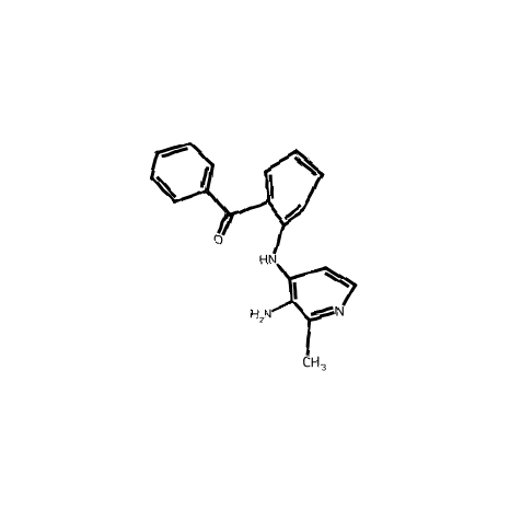 Cc1nccc(Nc2ccccc2C(=O)c2ccccc2)c1N